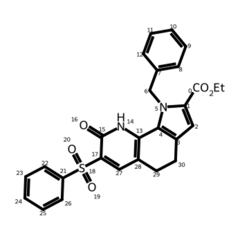 CCOC(=O)c1cc2c(n1Cc1ccccc1)-c1[nH]c(=O)c(S(=O)(=O)c3ccccc3)cc1CC2